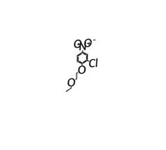 CCOCCOc1ccc([N+](=O)[O-])cc1Cl